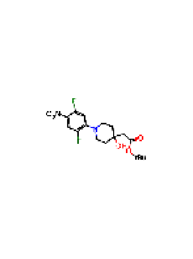 CC(C)(C)OC(=O)CC1(O)CCN(c2cc(F)c([N+](=O)[O-])cc2F)CC1